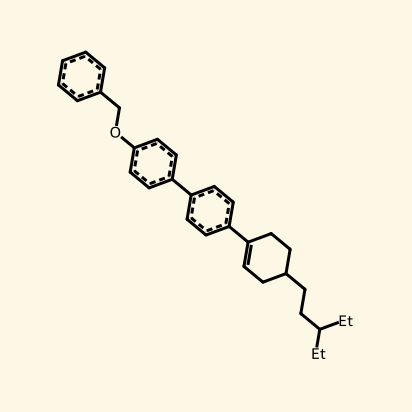 CCC(CC)CCC1CC=C(c2ccc(-c3ccc(OCc4ccccc4)cc3)cc2)CC1